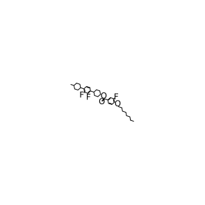 CCCCCCCCOc1ccc(C(=O)OC2CCC(c3ccc(C4CCC(C)CC4)c(F)c3F)CC2)cc1F